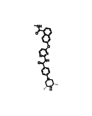 CNC(=O)c1cccc2cc(Oc3ccnc(NC(=O)c4ccc(N5C[C@@H](C)N[C@@H](C)C5)cc4)n3)ccc12